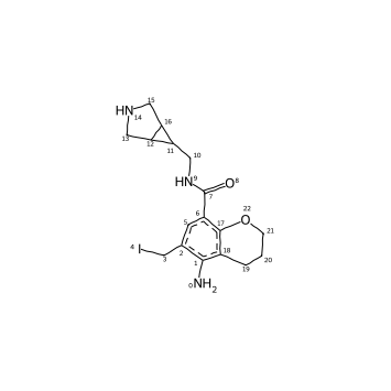 Nc1c(CI)cc(C(=O)NCC2C3CNCC32)c2c1CCCO2